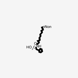 CCCCCCCCCC=CC=CC=CC=CC=CC(=O)N[C@@H](Cc1ccccc1)C(=O)O